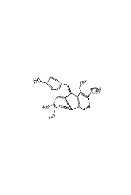 Oc1ccc(/C=C2\c3cc(O)c(O)cc3-c3ccc(O)c(O)c32)cc1